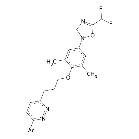 CC(=O)c1ccc(CCCOc2c(C)cc(N3CN=C(C(F)F)O3)cc2C)nn1